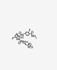 Cn1c(=O)oc2ccc(CNC(=O)c3cc(C(=O)NCc4ccc(C(N)=O)c(F)c4)n4ncc(F)c4n3)cc21